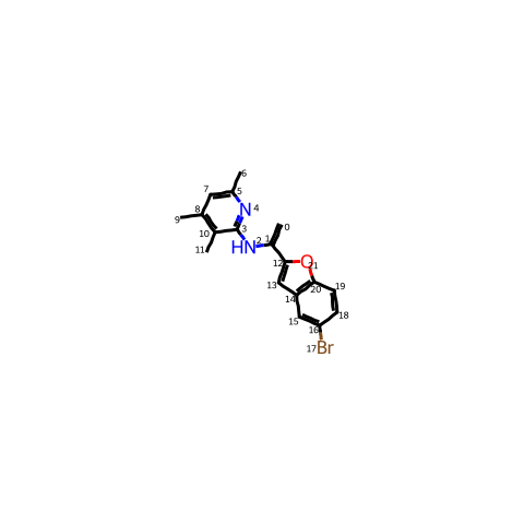 C=C(Nc1nc(C)cc(C)c1C)c1cc2cc(Br)ccc2o1